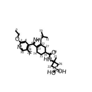 CCOc1cc(-c2nn(C(C)C)c3c2CCC(C(=O)NC2(C)CS(O)(O)C2)C3)c(F)cn1